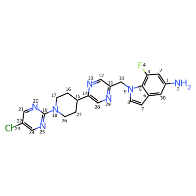 Nc1cc(F)c2c(ccn2Cc2cnc(C3CCN(c4ncc(Cl)cn4)CC3)cn2)c1